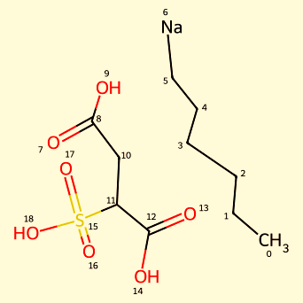 CCCCC[CH2][Na].O=C(O)CC(C(=O)O)S(=O)(=O)O